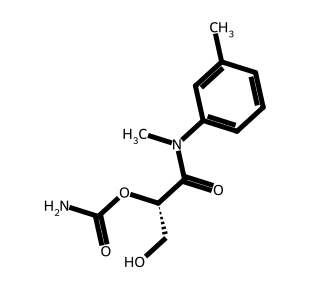 Cc1cccc(N(C)C(=O)[C@H](CO)OC(N)=O)c1